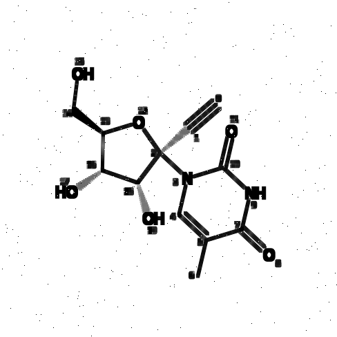 C#C[C@@]1(n2cc(C)c(=O)[nH]c2=O)O[C@H](CO)[C@@H](O)[C@H]1O